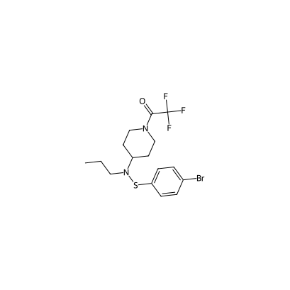 CCCN(Sc1ccc(Br)cc1)C1CCN(C(=O)C(F)(F)F)CC1